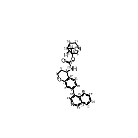 O=C(NC1CCOc2cc(-c3cncc4ccccc34)ccc21)O[C@H]1CN2CCC1CC2